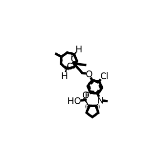 CC1C[C@H]2CC[C@@H](C1)CC(C)(COc1cc(F)c(N(C)[C@@H]3CCC[C@H]3C(=O)O)cc1Cl)C2